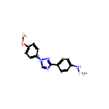 CCOC(=O)Nc1ccc(-c2ncn(-c3ccc(OC(F)(F)F)cc3)n2)cc1